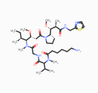 CC[C@H](C)[C@@H]([C@@H](CC(=O)N1CCC[C@H]1[C@H](OC)[C@@H](C)C(=O)NCc1nccs1)OC)N(C)C(=O)CNC(=O)C(C(C)C)N(C)C(=O)CCCCCN